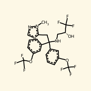 Cn1ncnc1CC(NC[C@@H](O)C(F)(F)F)(c1cccc(OC(F)(F)F)c1)c1cccc(OC(F)(F)F)c1